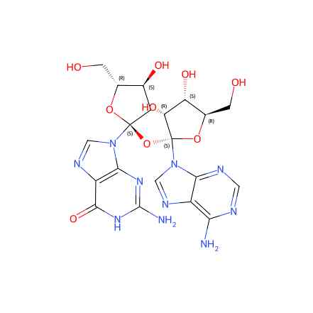 Nc1nc2c(ncn2[C@@]2(O[C@@]3(n4cnc5c(N)ncnc54)O[C@H](CO)[C@@H](O)[C@H]3O)C[C@H](O)[C@@H](CO)O2)c(=O)[nH]1